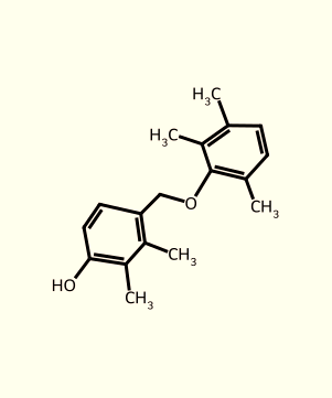 Cc1ccc(C)c(OCc2ccc(O)c(C)c2C)c1C